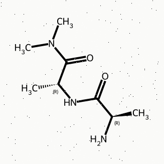 C[C@@H](N)C(=O)N[C@H](C)C(=O)N(C)C